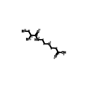 O=C(O)CCOCCNC(=O)C(Br)CBr